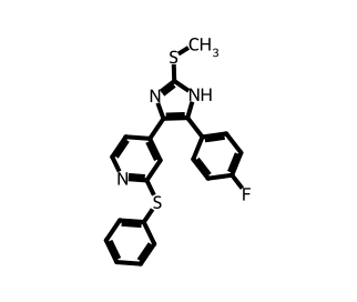 CSc1nc(-c2ccnc(Sc3ccccc3)c2)c(-c2ccc(F)cc2)[nH]1